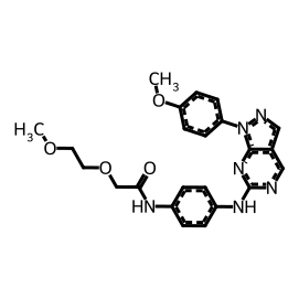 COCCOCC(=O)Nc1ccc(Nc2ncc3cnn(-c4ccc(OC)cc4)c3n2)cc1